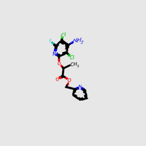 CC(Oc1nc(F)c(Cl)c(N)c1Cl)C(=O)OCc1ccccn1